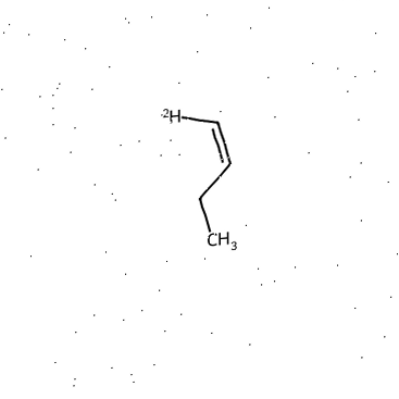 [2H]/C=C\CC